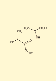 CC(C)OC(=O)C(C)O.CCOC(=O)C(C)O